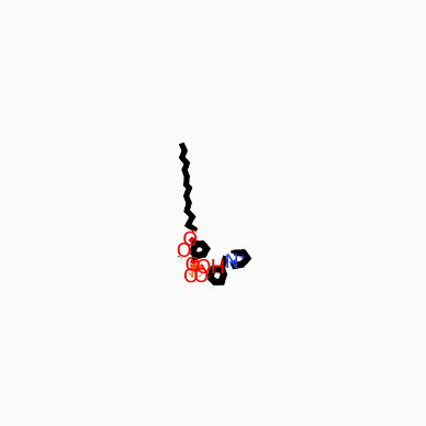 CCCCCCCCCCCCCCOc1cccc(OP(=O)(O)Oc2cccc(C[n+]3ccccc3)c2)c1OC